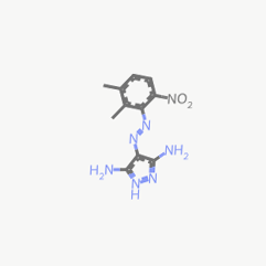 Cc1ccc([N+](=O)[O-])c(N=Nc2c(N)n[nH]c2N)c1C